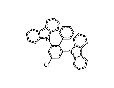 Clc1cc(-n2c3ccccc3c3ccccc32)c(-c2ccccc2)c(-n2c3ccccc3c3ccccc32)c1